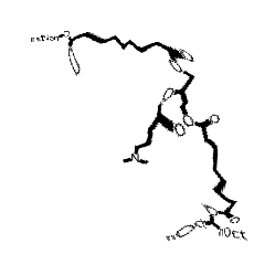 CCCCCCCCCOC(=O)CCCCCCCC(=O)OCC(COC(=O)CCCCCCC(=O)OC(CCCCCCCC)CCCCCCCC)OC(=O)CCCN(C)C